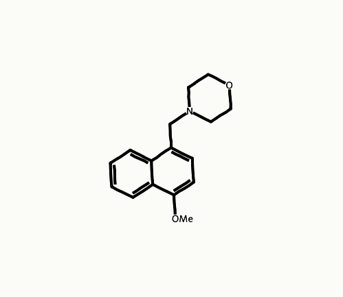 COc1ccc(CN2CCOCC2)c2ccccc12